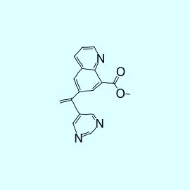 C=C(c1cncnc1)c1cc(C(=O)OC)c2ncccc2c1